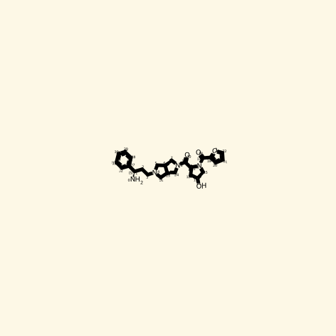 N[C@@H](CCN1CC2CN(C(=O)C3CC(O)CN3C(=O)c3ccco3)CC2C1)c1ccccc1